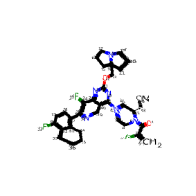 C=C(F)C(=O)N1CCN(c2nc(OCC34CCCN3CCC4)nc3c(F)c(-c4ccc(F)c5c4CCCC5)ncc23)C[C@@H]1CC#N